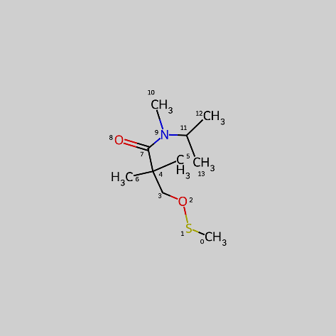 CSOCC(C)(C)C(=O)N(C)C(C)C